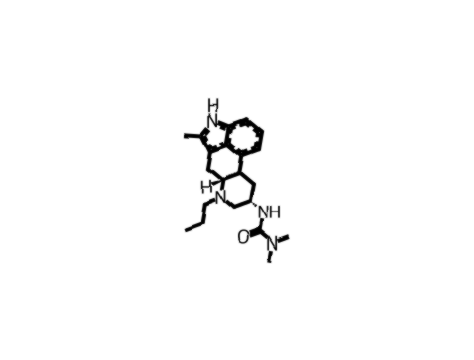 CCCN1C[C@@H](NC(=O)N(C)C)CC2c3cccc4[nH]c(C)c(c34)C[C@H]21